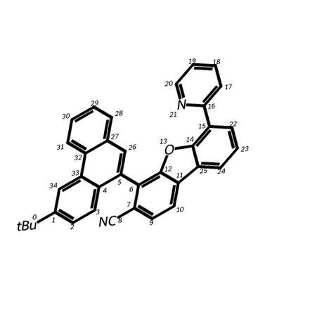 CC(C)(C)c1ccc2c(-c3c(C#N)ccc4c3oc3c(-c5ccccn5)cccc34)cc3ccccc3c2c1